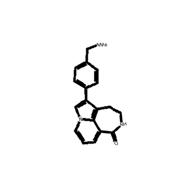 CNCc1ccc(-c2cn3cccc4c3c2CCNC4=O)cc1